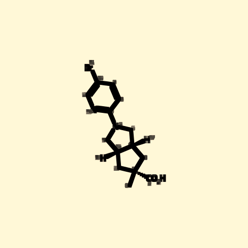 C[C@]1(C(=O)O)C[C@H]2CN(c3ccc(Br)cn3)C[C@H]2C1